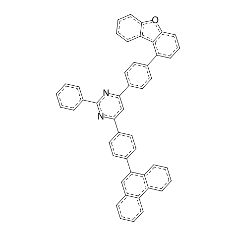 c1ccc(-c2nc(-c3ccc(-c4cc5ccccc5c5ccccc45)cc3)cc(-c3ccc(-c4cccc5oc6ccccc6c45)cc3)n2)cc1